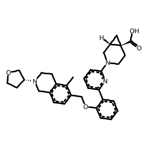 Cc1c(COc2ccccc2-c2cccc(N3CC[C@@]4(C(=O)O)C[C@H]4C3)n2)ccc2c1CCN([C@@H]1CCOC1)C2